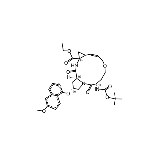 CCOC(=O)[C@@]12CC1C=CCOCC[C@H](NC(=O)OC(C)(C)C)C(=O)N1C[C@H](Oc3nccc4cc(OC)ccc34)C[C@H]1C(=O)N2